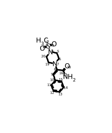 CS(=O)(=O)N1CCN(C(=Cc2ccccc2)C(N)=O)CC1